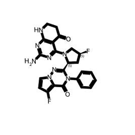 Nc1nc2c(c(N3C[C@@H](F)C[C@H]3c3nn4ccc(F)c4c(=O)n3-c3ccccc3)n1)C(=O)CCN2